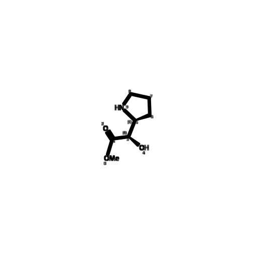 COC(=O)[C@H](O)[C@@H]1CCCN1